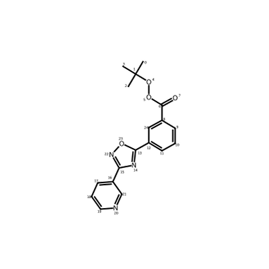 CC(C)(C)OOC(=O)c1cccc(-c2nc(-c3cccnc3)no2)c1